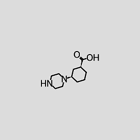 O=C(O)[C@H]1CCC[C@@H](N2CCNCC2)C1